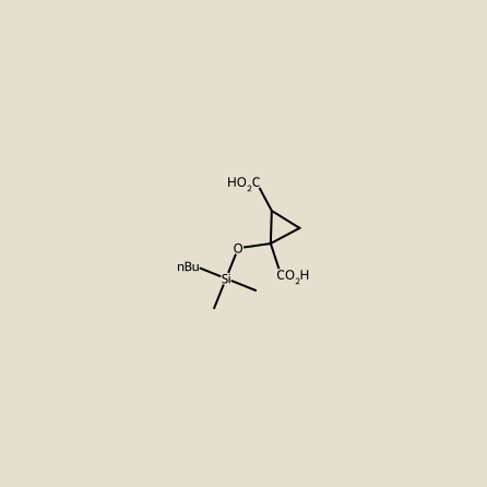 CCCC[Si](C)(C)OC1(C(=O)O)CC1C(=O)O